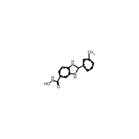 Cc1cccc(C2Nc3ccc(C(=O)NO)cc3N2)c1